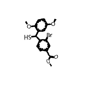 COC(=O)c1ccc(C(S)c2cc(OC)ccc2OC)c(Br)c1